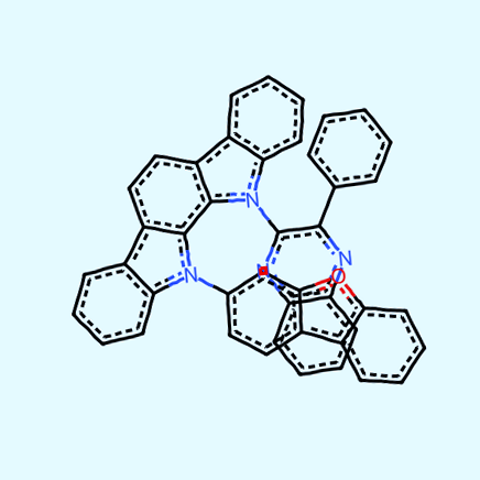 c1ccc(-c2nc3ccccc3nc2-n2c3ccccc3c3ccc4c5ccccc5n(-c5ccc6c(c5)oc5ccccc56)c4c32)cc1